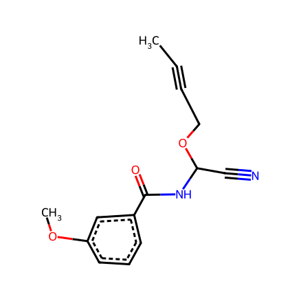 CC#CCOC(C#N)NC(=O)c1cccc(OC)c1